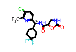 O=C1NCC(C(=O)N[C@H](c2ccc(Cl)c(C(F)(F)F)n2)C2CCC(F)(F)CC2)O1